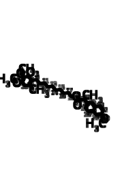 COC1=C(OC)C(=O)C(CCCCCCCCCCOC(=O)C(C)c2ccc3cc(OC)ccc3c2)=C(C)C1